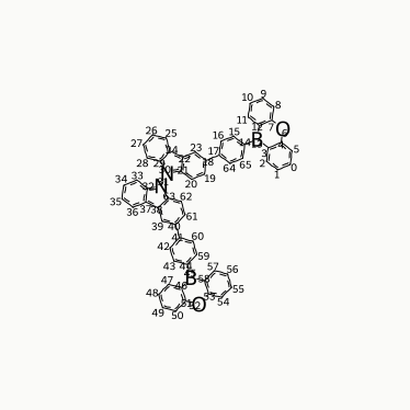 c1ccc2c(c1)Oc1ccccc1B2c1ccc(-c2ccc3c(c2)c2ccccc2n3-n2c3ccccc3c3cc(-c4ccc(B5c6ccccc6Oc6ccccc65)cc4)ccc32)cc1